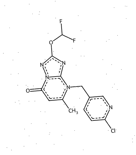 Cc1cc(=O)n2nc(OC(F)F)nc2n1Cc1ccc(Cl)nc1